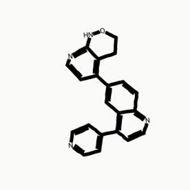 c1cc(-c2ccnc3ccc(-c4ccnc5c4CCON5)cc23)ccn1